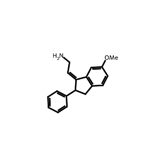 COc1ccc2c(c1)/C(=C\CN)C(c1ccccc1)C2